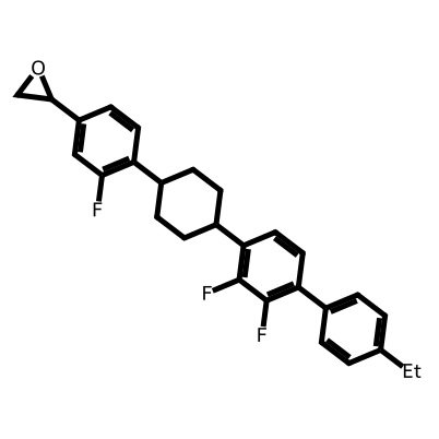 CCc1ccc(-c2ccc(C3CCC(c4ccc(C5CO5)cc4F)CC3)c(F)c2F)cc1